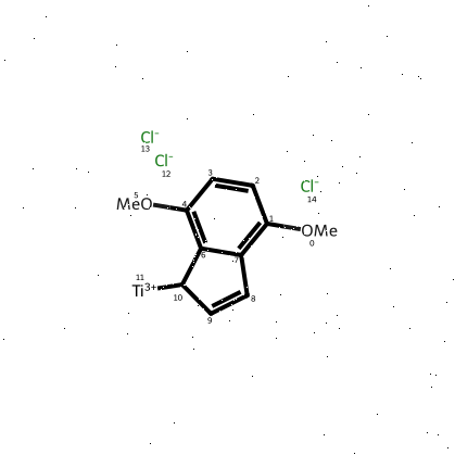 COc1ccc(OC)c2c1C=C[CH]2[Ti+3].[Cl-].[Cl-].[Cl-]